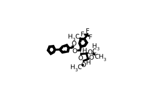 CO[C@@H]1O[C@H](C(OC(=O)c2ccc(-c3ccccc3)cc2)c2ccc(C(F)(F)F)c(C)c2)[C@H]2OC(C)(C)O[C@@H]12